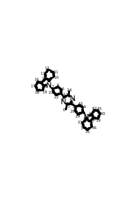 Cc1nc(-c2ccc(-n3c4ccccc4c4ccccc43)cc2)c(C)nc1-c1ccc(-n2c3ccccc3c3ccccc32)cc1